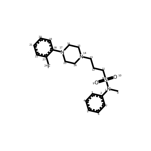 CN(c1ccccc1)S(=O)(=O)CCCN1CCN(c2ccccc2F)CC1